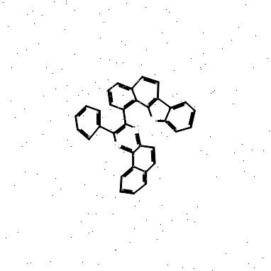 c1ccc(-c2nc3c(ccc4ccccc43)nc2-c2cccc3ccc4c5ccccc5oc4c23)cc1